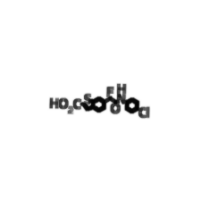 O=C(O)c1cc2ccc(C(F)C(=O)Nc3ccc(Cl)cc3)cc2s1